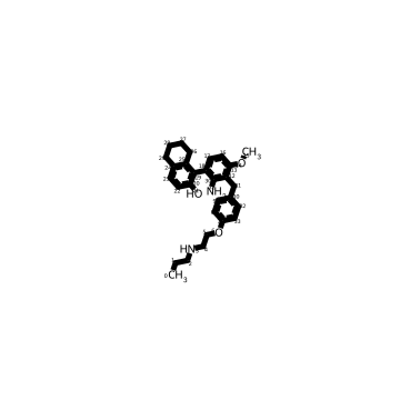 CCCNCCOc1ccc(Cc2c(OC)ccc(-c3c(O)ccc4c3CCCC4)c2N)cc1